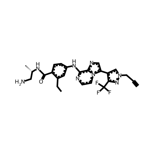 C#CCn1cc(-c2cnc3c(Nc4ccc(C(=O)N[C@@H](C)CN)c(CC)c4)nccn23)c(C(F)(F)F)n1